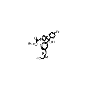 CC(C)c1ccc(C(O)(c2cncc(CC(F)(F)CO)c2)C2(C)CN(C(=O)OC(C)(C)C)C2)cc1